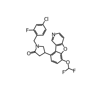 O=C1CC(c2ccc(OC(F)F)c3oc4ccncc4c23)CN1Cc1ccc(Cl)cc1F